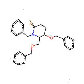 S=C1CCC(OCc2ccccc2)C(COCc2ccccc2)N1Cc1ccccc1